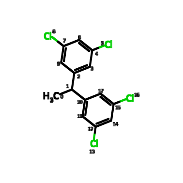 CC(c1cc(Cl)cc(Cl)c1)c1cc(Cl)cc(Cl)c1